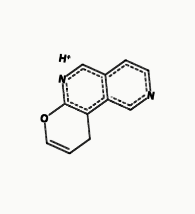 C1=COc2ncc3ccncc3c2C1.[H+]